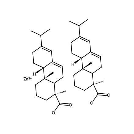 CC(C)C1=CC2=CCC3[C@](C)(CCC[C@]3(C)C(=O)[O-])[C@@H]2CC1.CC(C)C1=CC2=CCC3[C@](C)(CCC[C@]3(C)C(=O)[O-])[C@@H]2CC1.[Zn+2]